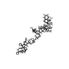 COc1cc(N2CCN(CCC3(F)CCN(c4cc5c(cc4F)C(=O)N(C4CCC(=O)NC4=O)C5=O)CC3)CC2)c(-c2cnn(C)c2)cc1Nc1ncc(Br)c(Nc2ccc3ccccc3c2P(C)C)n1